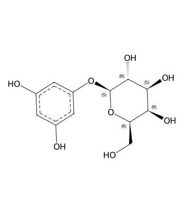 OC[C@H]1O[C@@H](Oc2cc(O)cc(O)c2)[C@H](O)[C@@H](O)[C@H]1O